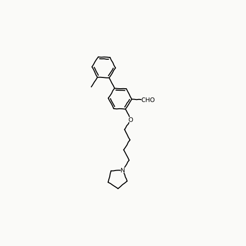 Cc1ccccc1-c1ccc(OCCCCN2CCCC2)c(C=O)c1